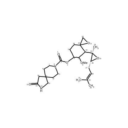 COC1C(OC(=O)N2CCC3(CC2)CNC(=O)C3)CCC2(CO2)C1[C@@]1(C)O[C@@H]1CC=C(C)C